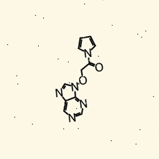 O=C(COn1cnc2cncnc21)n1cccc1